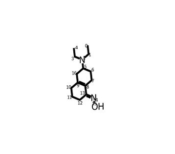 CCN(CC)C1CCC2=C(CCCC2=NO)C1